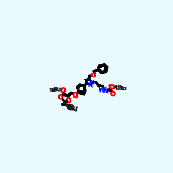 CCCCOC(=O)C(COc1ccc(-c2cc(COCc3ccccc3)n(CCCNC(=O)OC(C)(C)C)n2)cc1)O[Si](C)(C)C(C)(C)C